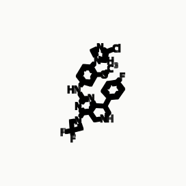 COc1cc(Nc2nc3c(c(N4CC(F)(F)C4)n2)CNCC3c2ccc(F)cc2)ccc1-n1cnc(Cl)c1